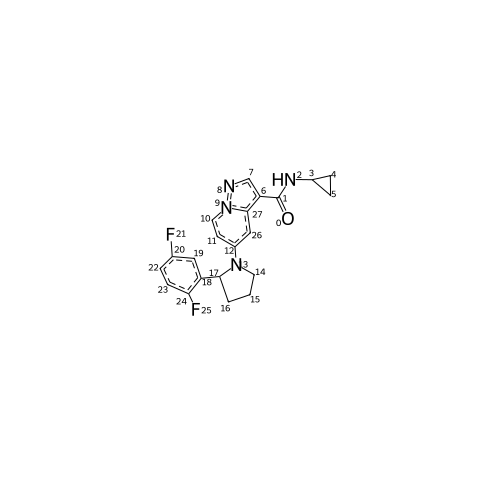 O=C(NC1CC1)c1cnn2ccc(N3CCCC3c3cc(F)ccc3F)cc12